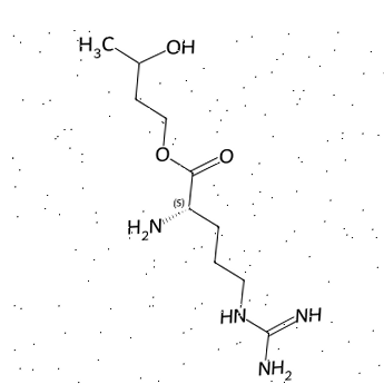 CC(O)CCOC(=O)[C@@H](N)CCCNC(=N)N